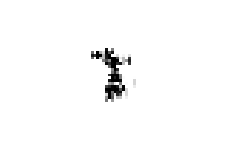 O=c1ccn([C@@H]2O[C@H](COP(=O)(O)OP(=O)(O)O)C[C@H]2O)c(=O)[nH]1